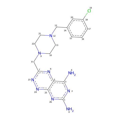 Nc1nc(N)c2nc(CN3CCN(Cc4cccc(Cl)c4)CC3)nnc2n1